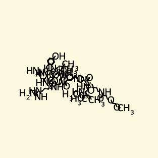 CC[C@H](C)[C@H](NC(C)=O)C(=O)N[C@@H](CCCCNC(=O)CCOCCOC)C(=O)N1CCN(c2ccc3ncn(CC(=O)N[C@@H](CCCNC(=N)N)C(=O)N[C@@H](Cc4c[nH]cn4)C(=O)NC(Cc4ccc(O)cc4)C(=O)N[C@@H](CC(C)C)C(=O)NC)c(=O)c3c2)CC1